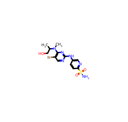 CC(CO)N(C)c1nc(Nc2ccc(S(N)(=O)=O)nc2)ncc1Br